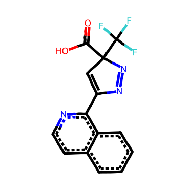 O=C(O)C1(C(F)(F)F)C=C(c2nccc3ccccc23)N=N1